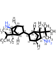 CC(C)[C@]1(C)[C@H]2C[C@H](CC2C2C[C@@H]3C[C@H]2C(C)(C(C)(C)C)[C@@H]3N)[C@@H]1N